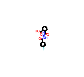 O=C(NNC(=O)c1ccccc1C(=O)O)c1ccc(F)cc1